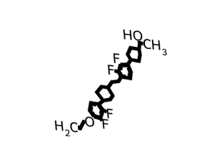 C=CCOc1ccc(C2CCC(CCc3ccc(C4CCC(C(C)O)CC4)c(F)c3F)CC2)c(F)c1F